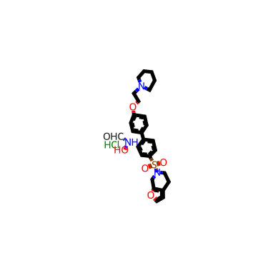 Cl.O=CNO.O=S(=O)(c1ccc(-c2ccc(OCCN3CCCCC3)cc2)cc1)N1CCc2ccoc2C1